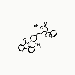 CCCOC(=O)CC(C)(CCCN1CCC(NC(=O)c2ccccc2-c2cccc(C)c2)CC1)c1ccccc1